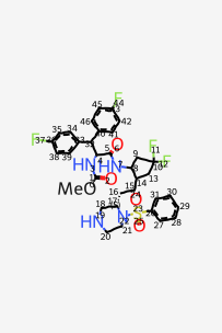 COC(=O)NC(C(=O)NC1CC(F)(F)CC1CC[C@H]1CNCCN1S(=O)(=O)c1ccccc1)C(c1ccc(F)cc1)c1ccc(F)cc1